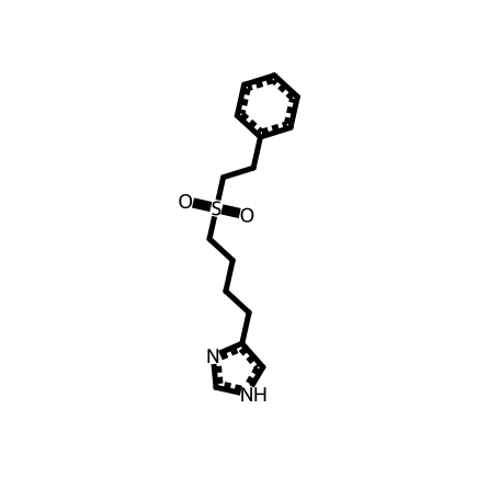 O=S(=O)(CCCCc1c[nH]cn1)CCc1ccccc1